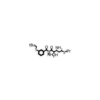 CC(C)SCC[C@@H](N)C(O)C(=O)N(N)C(=O)c1cccc(SCC(C)(C)C)c1